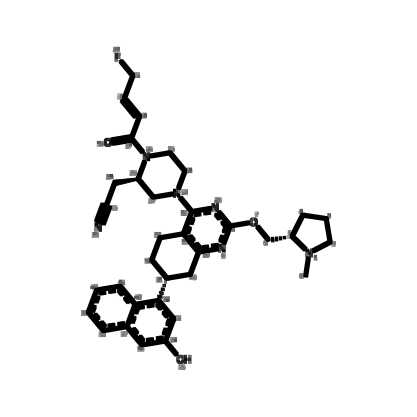 CN1CCC[C@H]1COc1nc2c(c(N3CCN(C(=O)/C=C/CF)[C@H](CC#N)C3)n1)CC[C@@H](c1cc(O)cc3ccccc13)C2